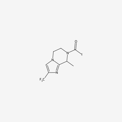 CC1c2nc(C(F)(F)F)cn2CCN1C(=O)I